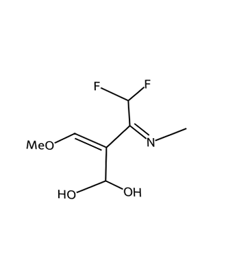 C/N=C(/C(=C/OC)C(O)O)C(F)F